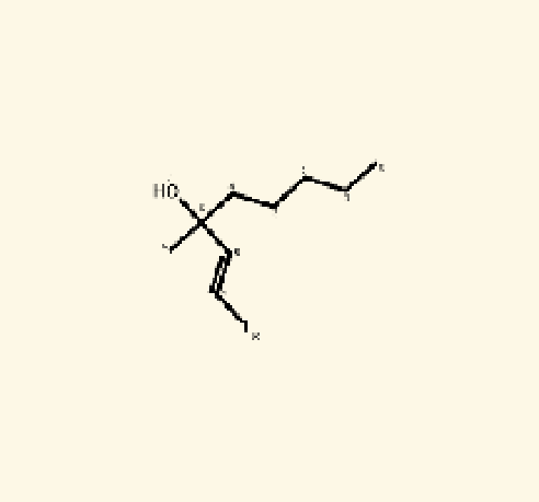 CCCCCC(C)(O)C=CI